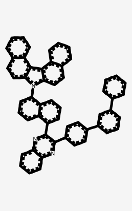 c1ccc(-c2cccc(-c3ccc(-c4nc5ccccc5nc4-c4cccc5c(-n6c7ccc8ccccc8c7c7c8ccccc8ccc76)cccc45)cc3)c2)cc1